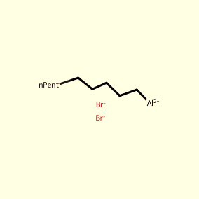 CCCCCCCCC[CH2][Al+2].[Br-].[Br-]